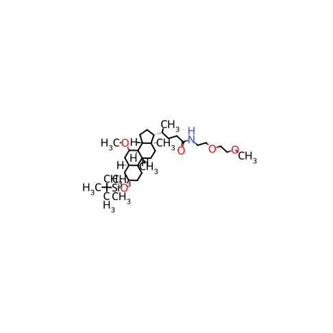 COCCOCCNC(=O)CCC(C)[C@H]1CC[C@H]2[C@@H]3[C@H](OC)C[C@@H]4C[C@H](O[Si](C)(C)C(C)(C)C)CC[C@]4(C)[C@H]3CC[C@]12C